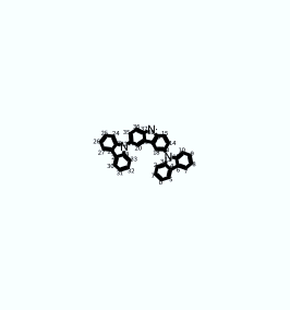 c1ccc2c(c1)c1ccccc1n2-c1ccc2c(c1)-c1cc(-n3c4ccccc4c4ccccc43)ccc1[N]2